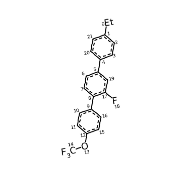 CCc1ccc(-c2ccc(-c3ccc(OC(F)(F)F)cc3)c(F)c2)cc1